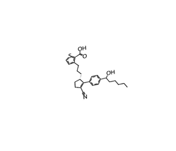 CCCCCC(O)c1ccc(C2=C(C#N)CC[C@@H]2CCCc2ccsc2C(=O)O)cc1